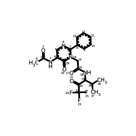 CC(=O)Nc1cnc(-c2ccccc2)n(CC(=O)NC(C(=O)C(F)(F)F)C(C)C)c1=O